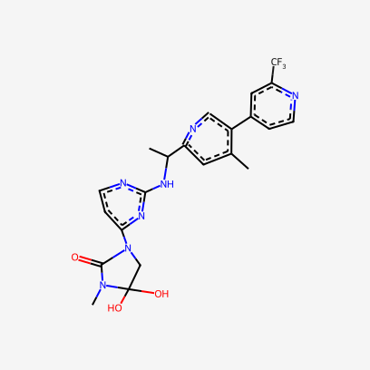 Cc1cc(C(C)Nc2nccc(N3CC(O)(O)N(C)C3=O)n2)ncc1-c1ccnc(C(F)(F)F)c1